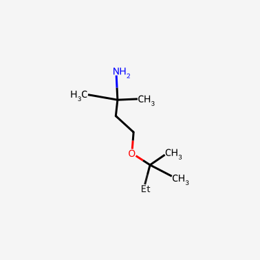 CCC(C)(C)OCCC(C)(C)N